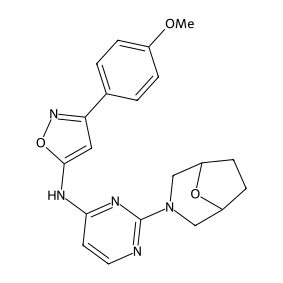 COc1ccc(-c2cc(Nc3ccnc(N4CC5CCC(C4)O5)n3)on2)cc1